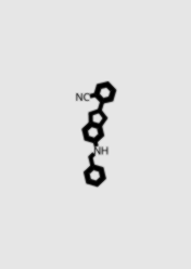 N#Cc1ccccc1C1Cc2ccc(NCc3ccccc3)cc2C1